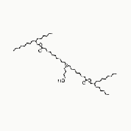 CCCCCCCCC(CCCCCC)COC(=O)CCCCCCCCCN(CCCCO)CCCCCCCC(=O)OCC(CCCCCC)CCCCCCCC